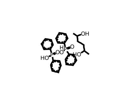 CC(O)CCC(C)O.O=P(O)(c1ccccc1)c1ccccc1.O=P(O)(c1ccccc1)c1ccccc1